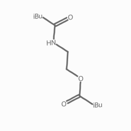 CCC(C)C(=O)NCCOC(=O)C(C)CC